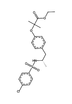 CCOC(=O)C(C)(C)Oc1ccc(C[C@H](C)NS(=O)(=O)c2ccc(Cl)cc2)cc1